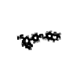 CC1(C)CCc2cc(COc3ccc([C@H](CC(=O)O)c4ncc[nH]4)cc3)ccc2O1